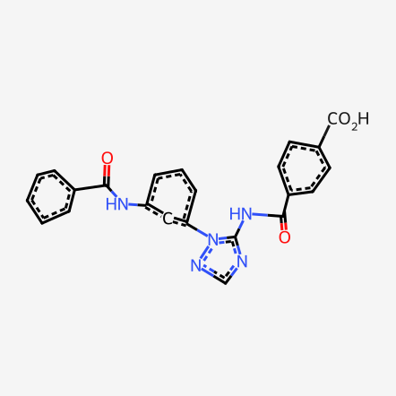 O=C(O)c1ccc(C(=O)Nc2ncnn2-c2cccc(NC(=O)c3ccccc3)c2)cc1